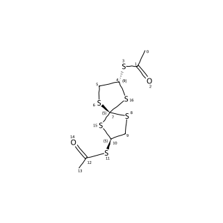 CC(=O)S[C@H]1CS[C@]2(SC[C@@H](SC(C)=O)S2)S1